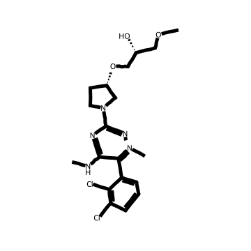 C\N=C(/N=C(NC)\C(=N\C)c1cccc(Cl)c1Cl)N1CC[C@H](OC[C@H](O)COC)C1